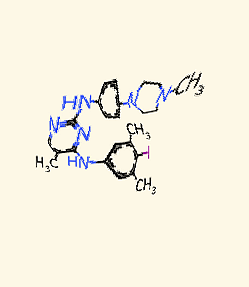 Cc1cnc(Nc2ccc(N3CCN(C)CC3)cc2)nc1Nc1cc(C)c(I)c(C)c1